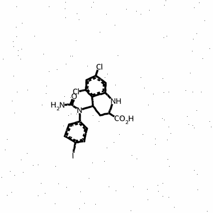 NC(=O)N(c1ccc(I)cc1)C1CC(C(=O)O)Nc2cc(Cl)cc(Cl)c21